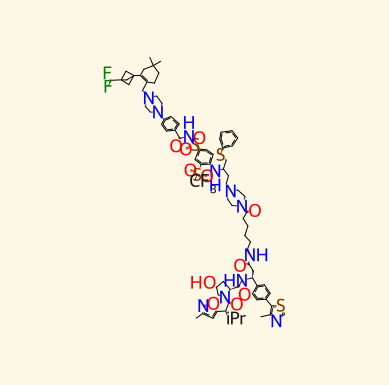 Cc1cc(C(C(=O)N2C[C@H](O)C[C@H]2C(=O)N[C@@H](CC(=O)NCCCCCC(=O)N2CCN(CCC(CSc3ccccc3)Nc3ccc(S(=O)(=O)NC(=O)c4ccc(N5CCN(CC6=C(C78CC(C(F)F)(C7)C8)CC(C)(C)CC6)CC5)cc4)cc3S(=O)(=O)C(F)(F)F)CC2)c2ccc(-c3scnc3C)cc2)C(C)C)on1